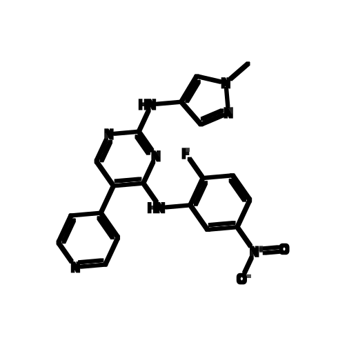 Cn1cc(Nc2ncc(-c3ccncc3)c(Nc3cc([N+](=O)[O-])ccc3F)n2)cn1